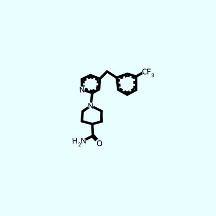 NC(=O)C1CCN(c2cc(Cc3cccc(C(F)(F)F)c3)ccn2)CC1